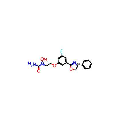 NC(=O)N(O)CCOc1cc(F)cc(C2=N[C@H](c3ccccc3)CO2)c1